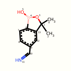 CC1(C)OB(O)c2ccc(C=N)cc21